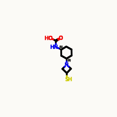 O=C(O)N[C@H]1CCC[C@@H](N2CC(S)C2)C1